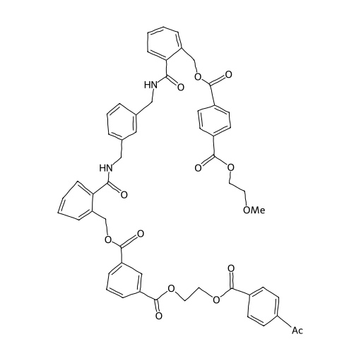 COCCOC(=O)c1ccc(C(=O)OCc2ccccc2C(=O)NCc2cccc(CNC(=O)c3ccccc3COC(=O)c3cccc(C(=O)OCCOC(=O)c4ccc(C(C)=O)cc4)c3)c2)cc1